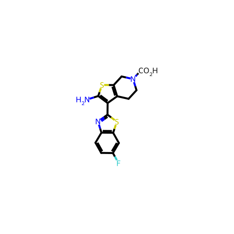 Nc1sc2c(c1-c1nc3ccc(F)cc3s1)CCN(C(=O)O)C2